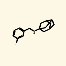 Fc1cccc(CNC23CC4CC(C2)C(C4)C3)c1